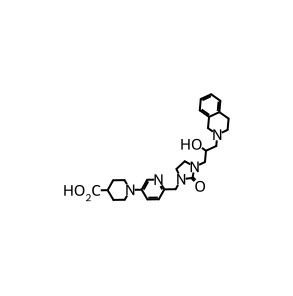 O=C(O)C1CCN(c2ccc(CN3CCN(CC(O)CN4CCc5ccccc5C4)C3=O)nc2)CC1